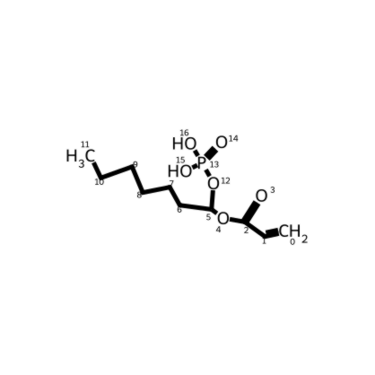 C=CC(=O)OC(CCCCCC)OP(=O)(O)O